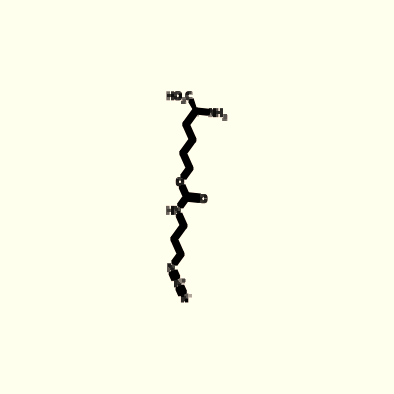 [N-]=[N+]=NCCCNC(=O)OCCCC[C@H](N)C(=O)O